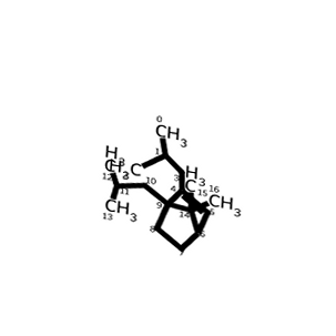 CC(C)CC1=CC2CCC1(CC(C)C)C2(C)C